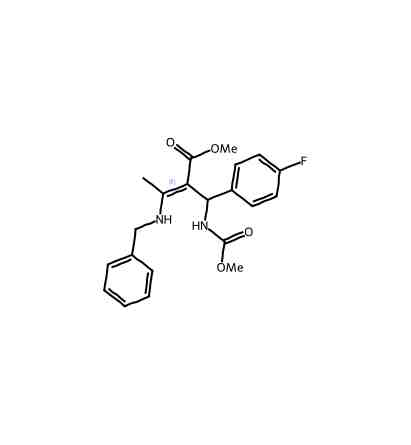 COC(=O)NC(/C(C(=O)OC)=C(/C)NCc1ccccc1)c1ccc(F)cc1